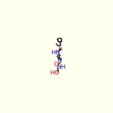 CC/C(=C\C1=CCCC=C1)[C@@H]1CC1NC1CC2(C1)CN(CC(=O)NCCO)C2